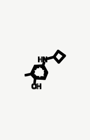 Cc1cc(NC2CCC2)ccc1O